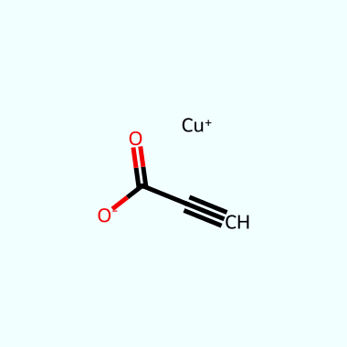 C#CC(=O)[O-].[Cu+]